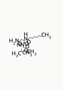 CCCCCCCC(=O)N[C@H](CC(N)=O)C(=O)N[C@@H](CC(C)C)C(=O)OC